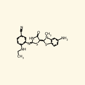 CCNc1ccc(C#N)cc1N=C1NC(=O)C(=C2Sc3ccc(N)cc3N2C)S1